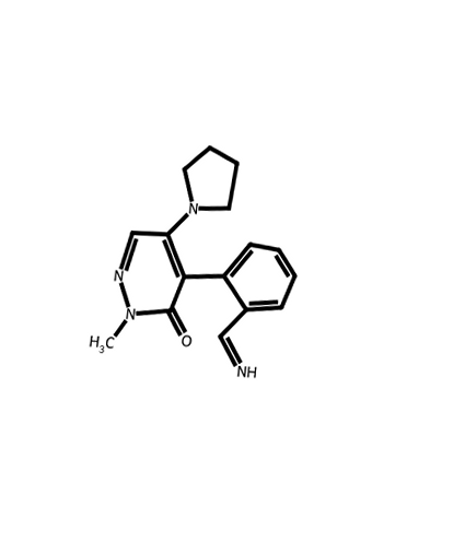 Cn1ncc(N2CCCC2)c(-c2ccccc2C=N)c1=O